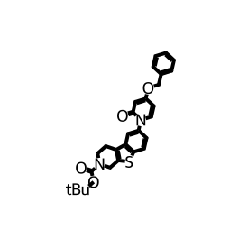 CC(C)(C)OC(=O)N1CCc2c(sc3ccc(-n4ccc(OCc5ccccc5)cc4=O)cc23)C1